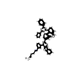 C=CCC/C=C/c1cccc(-c2nc(-c3ccc4c(c3)oc3cccc(-c5nc(-c6ccccc6)nc(-c6ccccc6)n5)c34)nc3c2oc2ccccc23)c1